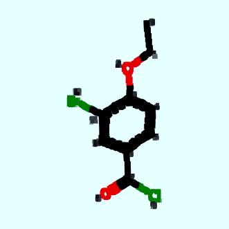 CCOc1ccc(C(=O)Cl)cc1Br